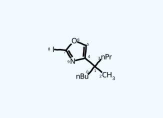 CCCCC(C)(CCC)c1coc(I)n1